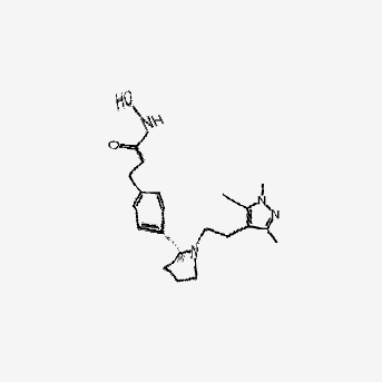 Cc1nn(C)c(C)c1CCN1CCC[C@@H]1c1ccc(CCC(=O)NO)cc1